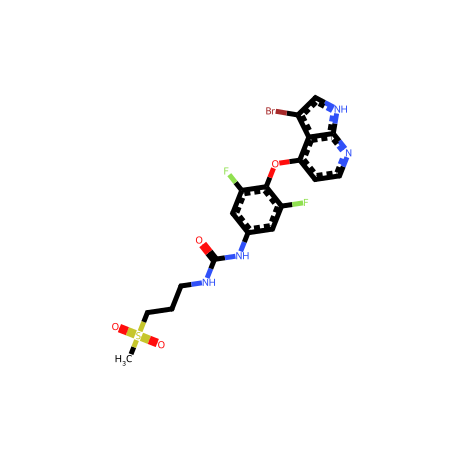 CS(=O)(=O)CCCNC(=O)Nc1cc(F)c(Oc2ccnc3[nH]cc(Br)c23)c(F)c1